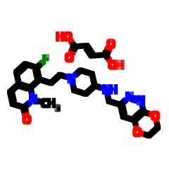 Cn1c(=O)ccc2ccc(F)c(CCN3CCC(NCc4cc5c(nn4)OCCO5)CC3)c21.O=C(O)/C=C/C(=O)O